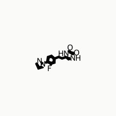 O=c1[nH]cc(CCc2ccc(-n3cccn3)c(F)c2)[nH]c1=O